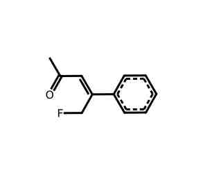 CC(=O)/C=C(\CF)c1ccccc1